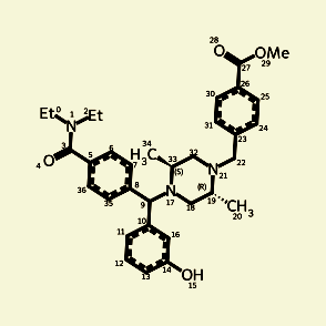 CCN(CC)C(=O)c1ccc(C(c2cccc(O)c2)N2C[C@@H](C)N(Cc3ccc(C(=O)OC)cc3)C[C@@H]2C)cc1